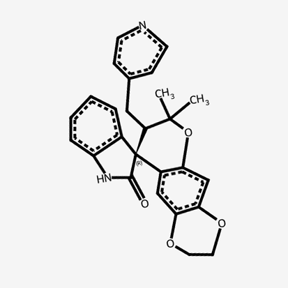 CC1(C)Oc2cc3c(cc2[C@@]2(C(=O)Nc4ccccc42)C1Cc1ccncc1)OCCO3